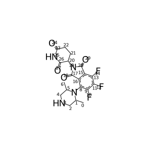 CC1CNCC(C)N1c1c(F)c(F)c(F)c2c1C(=O)N(C1CCC(=O)NC1=O)C2=O